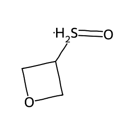 O=[SH2]C1COC1